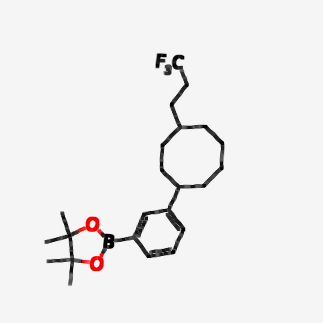 CC1(C)OB(c2cccc(C3CCCCC(CCC(F)(F)F)CC3)c2)OC1(C)C